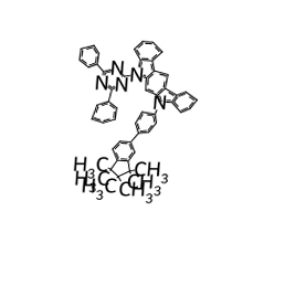 CC1(C)c2ccc(-c3ccc(-n4c5ccccc5c5cc6c7ccccc7n(-c7nc(-c8ccccc8)nc(-c8ccccc8)n7)c6cc54)cc3)cc2C(C)(C)C1(C)C